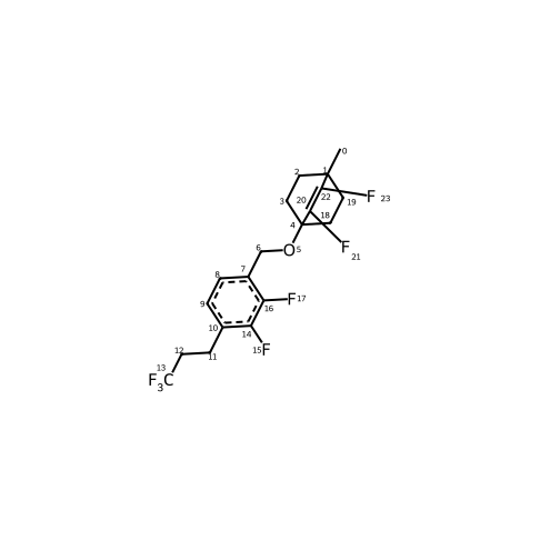 CC12CCC(OCc3ccc(CCC(F)(F)F)c(F)c3F)(CC1)C(F)=C2F